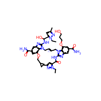 CCn1nc(C)cc1C(=O)Nc1nc2cc(C(N)=O)cc(OCCCO)c2n1C/C=C/Cn1c(NC(O)c2cc(C)nn2CC)nc2cc(C(N)=O)cc(OCC3CC3)c21